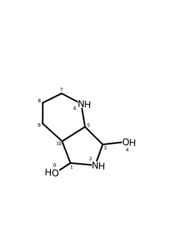 OC1NC(O)C2NCCCC12